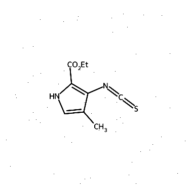 CCOC(=O)c1[nH]cc(C)c1N=C=S